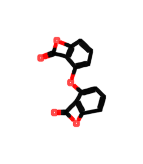 O=C1Oc2cccc(Oc3cccc4c3C(=O)O4)c21